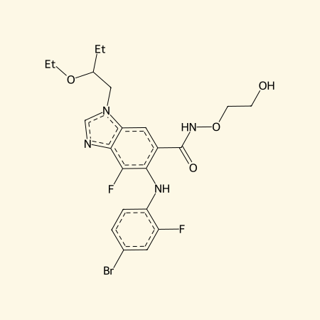 CCOC(CC)Cn1cnc2c(F)c(Nc3ccc(Br)cc3F)c(C(=O)NOCCO)cc21